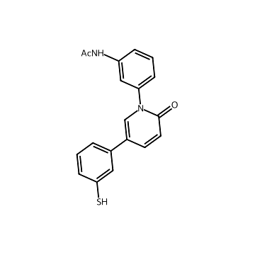 CC(=O)Nc1cccc(-n2cc(-c3cccc(S)c3)ccc2=O)c1